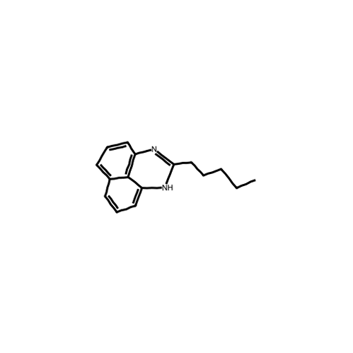 CCCCCC1=Nc2cccc3cccc(c23)N1